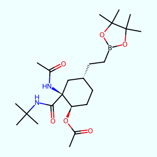 CC(=O)N[C@@]1(C(=O)NC(C)(C)C)C[C@H](CCB2OC(C)(C)C(C)(C)O2)CC[C@H]1OC(C)=O